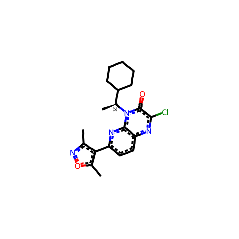 Cc1noc(C)c1-c1ccc2nc(Cl)c(=O)n([C@@H](C)C3CCCCC3)c2n1